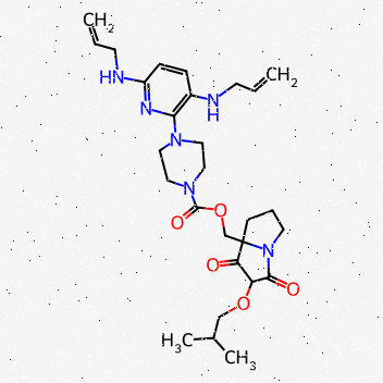 C=CCNc1ccc(NCC=C)c(N2CCN(C(=O)OCC34CCCN3C(=O)C(OCC(C)C)C4=O)CC2)n1